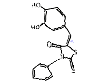 O=C1/C(=C\c2ccc(O)c(O)c2)SC(=S)N1c1ccccc1